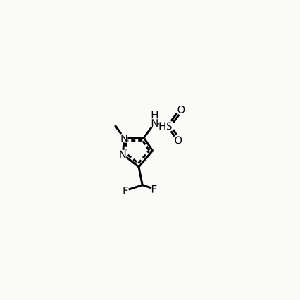 Cn1nc(C(F)F)cc1N[SH](=O)=O